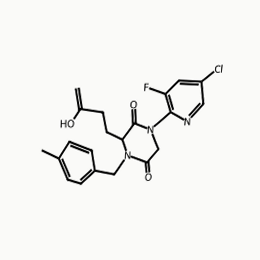 C=C(O)CCC1C(=O)N(c2ncc(Cl)cc2F)CC(=O)N1Cc1ccc(C)cc1